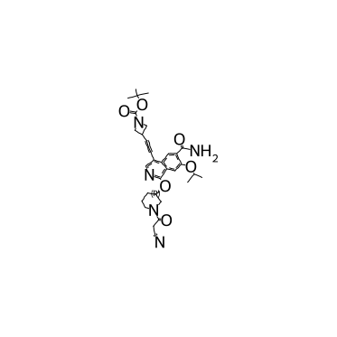 CC(C)Oc1cc2c(O[C@@H]3CCCN(C(=O)CC#N)C3)ncc(C#CC3CN(C(=O)OC(C)(C)C)C3)c2cc1C(N)=O